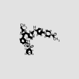 CCc1nc(-c2cccc(NS(=O)(=O)c3ccccc3)c2)c(-c2ccnc(Nc3ccc(N4CCN(C(C)=O)CC4)nc3)n2)s1